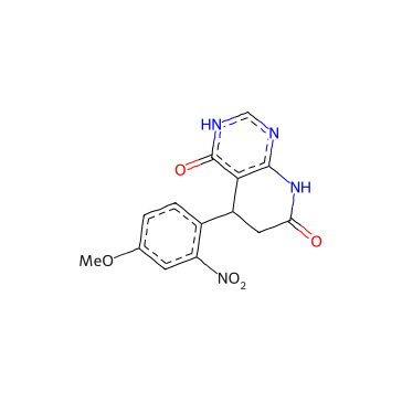 COc1ccc(C2CC(=O)Nc3nc[nH]c(=O)c32)c([N+](=O)[O-])c1